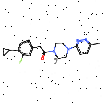 Cc1ccc(N2CCN(C(=O)Cc3ccc(C4CC4)c(F)c3)[C@@H](C)C2)nn1